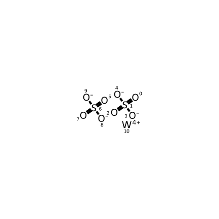 O=S(=O)([O-])[O-].O=S(=O)([O-])[O-].[W+4]